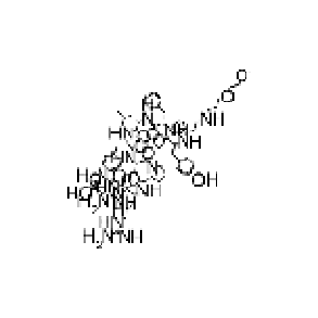 COCCOCCCNCCC(=O)N[C@@H](Cc1ccc(O)cc1)C(=O)N[C@@H](Cc1ccccc1)C(=O)N[C@@H](CC(C)C)C(=O)N[C@@H](Cc1ccccc1)C(=O)N[C@@H](CCCNC(=N)N)C(=O)N1CCC[C@H]1C(=O)N[C@@H](CCCNC(=N)N)C(=O)N[C@@H](CC(=O)O)C(N)=O